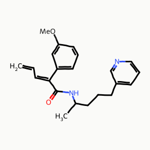 C=C/C=C(/C(=O)NC(C)CCCc1cccnc1)c1cccc(OC)c1